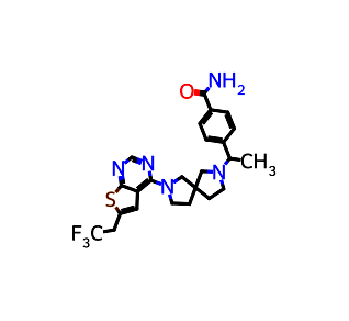 CC(c1ccc(C(N)=O)cc1)N1CCC2(CCN(c3ncnc4sc(CC(F)(F)F)cc34)C2)C1